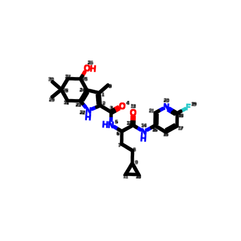 Cc1c(C(=O)NC(CCC2CC2)C(=O)Nc2ccc(F)nc2)[nH]c2c1C(O)CC(C)(C)C2